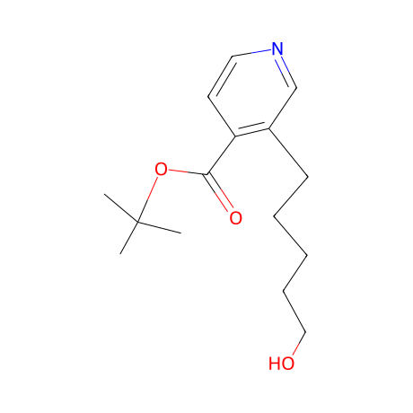 CC(C)(C)OC(=O)c1ccncc1CCCCCO